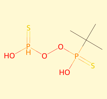 CC(C)(C)P(O)(=S)OO[PH](O)=S